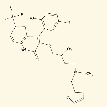 CN(CCC(O)CSc1c(-c2cc(Cl)ccc2O)c2cc(C(F)(F)F)ccc2[nH]c1=O)Cc1ccco1